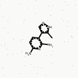 Cc1[nH]ncc1-c1ccc(N)nc1N